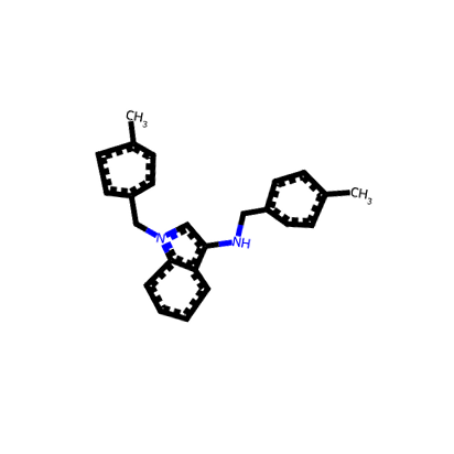 Cc1ccc(CNc2cn(Cc3ccc(C)cc3)c3ccccc23)cc1